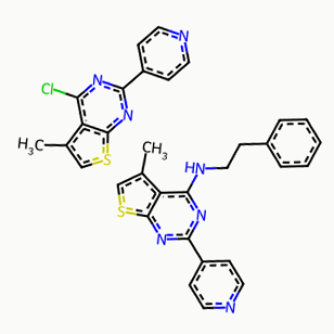 Cc1csc2nc(-c3ccncc3)nc(Cl)c12.Cc1csc2nc(-c3ccncc3)nc(NCCc3ccccc3)c12